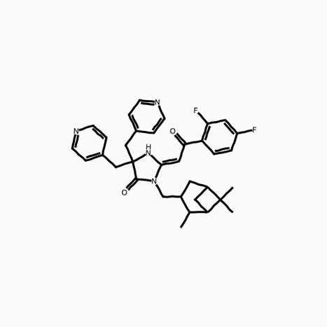 CC1C(CN2C(=O)C(Cc3ccncc3)(Cc3ccncc3)NC2=CC(=O)c2ccc(F)cc2F)CC2CC1C2(C)C